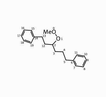 COOC(CCCc1ccccc1)CCc1ccccc1